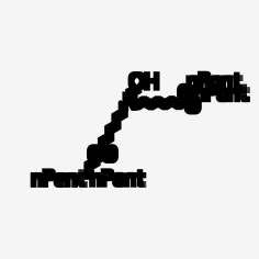 CCCCCC(CCCCC)CCOC(=O)CCCCCCCN(CCO)CCCCCCCC(=O)OC(CCCCC)CCCCC